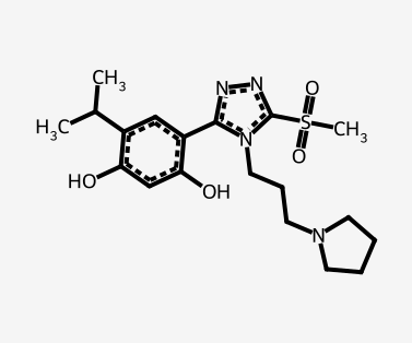 CC(C)c1cc(-c2nnc(S(C)(=O)=O)n2CCCN2CCCC2)c(O)cc1O